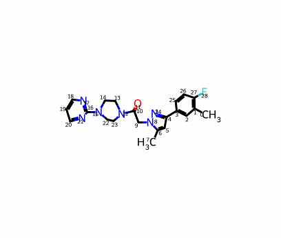 Cc1cc(-c2cc(C)n(CC(=O)N3CCN(c4ncccn4)CC3)n2)ccc1F